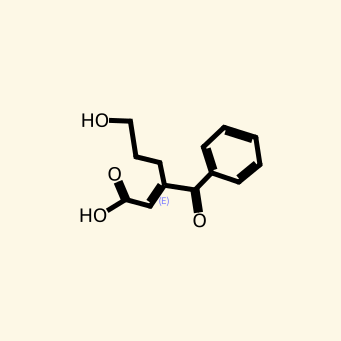 O=C(O)/C=C(\CCCO)C(=O)c1ccccc1